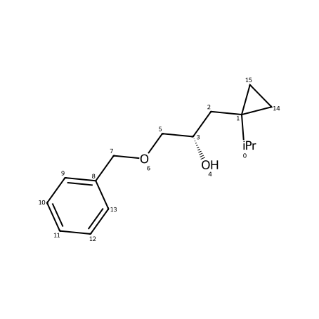 CC(C)C1(C[C@H](O)COCc2ccccc2)CC1